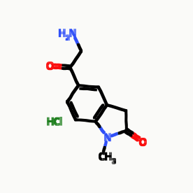 CN1C(=O)Cc2cc(C(=O)CN)ccc21.Cl